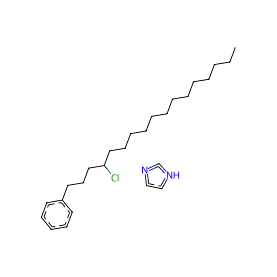 CCCCCCCCCCCCCC(Cl)CCCc1ccccc1.c1c[nH]cn1